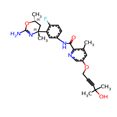 Cc1cc(OCC#CC(C)(C)O)cnc1C(=O)Nc1ccc(F)c([C@@]2(C)C[C@@H](C)OC(N)=N2)c1